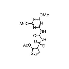 COc1nc(NC(=O)NS(=O)(=O)c2ccsc2OC(C)=O)nc(OC)n1